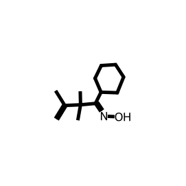 C=C(C)C(C)(C)/C(=N/O)C1CCCCC1